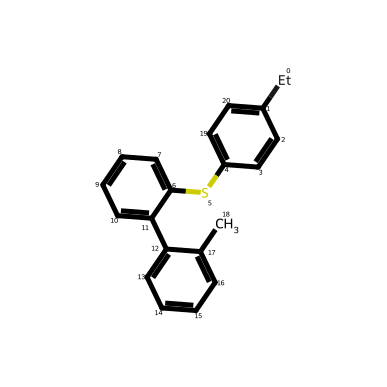 CCc1ccc(Sc2ccccc2-c2ccccc2C)cc1